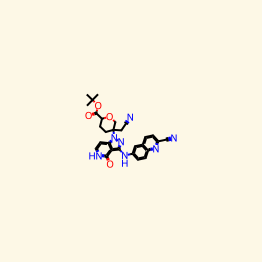 CC(C)(C)OC(=O)C1CCC(CC#N)(n2nc(Nc3ccc4nc(C#N)ccc4c3)c3c(=O)[nH]ccc32)CO1